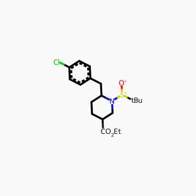 CCOC(=O)C1CCC(Cc2ccc(Cl)cc2)N([S+]([O-])C(C)(C)C)C1